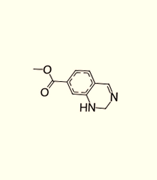 COC(=O)c1ccc2c(c1)NCN=C2